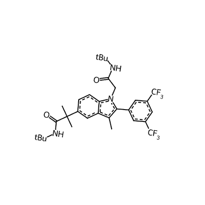 Cc1c(-c2cc(C(F)(F)F)cc(C(F)(F)F)c2)n(CC(=O)NC(C)(C)C)c2ccc(C(C)(C)C(=O)NC(C)(C)C)cc12